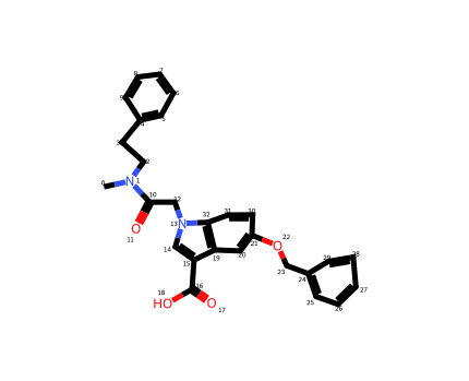 CN(CCc1ccccc1)C(=O)Cn1cc(C(=O)O)c2cc(OCc3ccccc3)ccc21